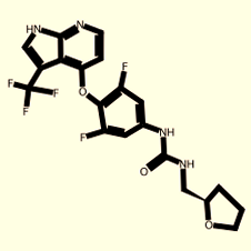 O=C(NC[C@H]1CCCO1)Nc1cc(F)c(Oc2ccnc3[nH]cc(C(F)(F)F)c23)c(F)c1